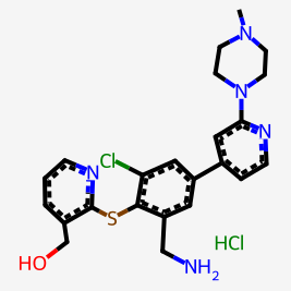 CN1CCN(c2cc(-c3cc(Cl)c(Sc4ncccc4CO)c(CN)c3)ccn2)CC1.Cl